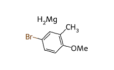 COc1ccc(Br)cc1C.[MgH2]